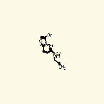 C=CCNc1ccc2ncc(Br)n2n1